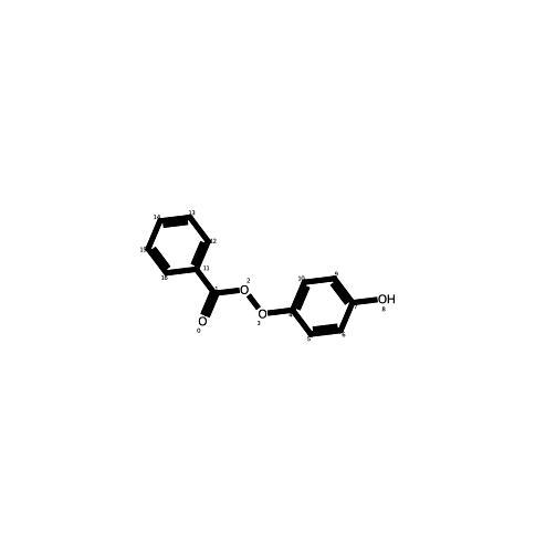 O=C(OOc1ccc(O)cc1)c1ccccc1